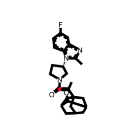 CC(=O)C12CC3CC(C1)C(OC(=O)N1CC[C@H](n4c(C)nc5cc(F)ccc54)C1)C(C3)C2